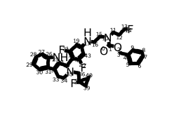 O=C(OCc1ccccc1)N(CCCF)CCNc1cc(F)c(C2c3[nH]c4ccccc4c3CCN2CC2(F)CC2)c(F)c1